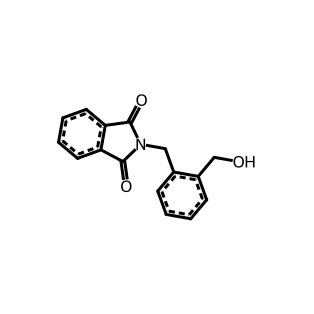 O=C1c2ccccc2C(=O)N1Cc1ccccc1CO